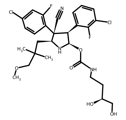 COCC(C)(C)C[C@@H]1N[C@H](OC(=O)NCC[C@H](O)CO)[C@H](c2cccc(Cl)c2F)[C@@]1(C#N)c1ccc(Cl)cc1F